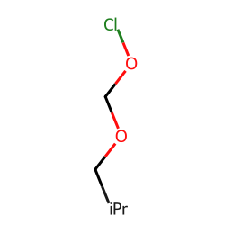 CC(C)COCOCl